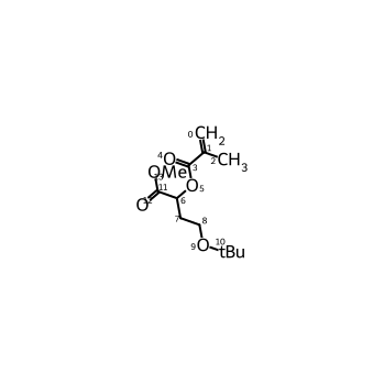 C=C(C)C(=O)OC(CCOC(C)(C)C)C(=O)OC